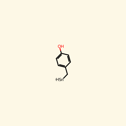 Oc1ccc([CH2][SnH])cc1